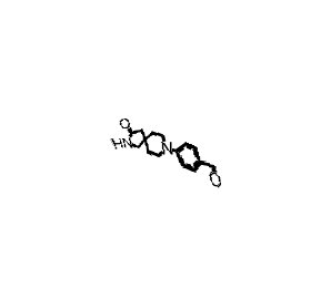 O=Cc1ccc(N2CCC3(CC2)CNC(=O)C3)cc1